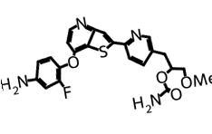 COCC(Cc1ccc(-c2cc3nccc(Oc4ccc(N)cc4F)c3s2)nc1)OC(N)=O